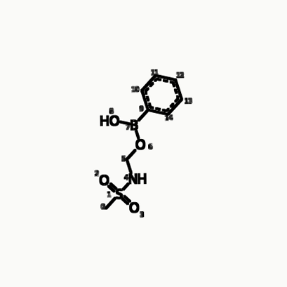 CS(=O)(=O)NCOB(O)c1ccccc1